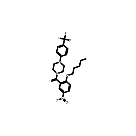 CCCCCOc1ccc([N+](=O)[O-])cc1C(=O)N1CCN(c2ccc(C(F)(F)F)cc2)CC1